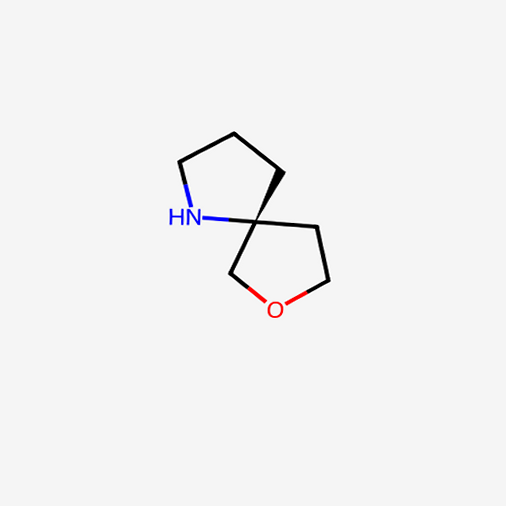 C1CN[C@]2(C1)CCOC2